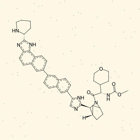 COC(=O)N[C@H](C(=O)N1C2CC[C@@H](C2)[C@H]1c1ncc(-c2ccc3cc(-c4ccc5c(ccc6nc([C@H]7CCCCN7)[nH]c65)c4)ccc3c2)[nH]1)C1CCOCC1